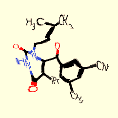 CC(C)=CCn1c(C(=O)c2cc(C)cc(C#N)c2)c(C(C)C)c(=O)[nH]c1=O